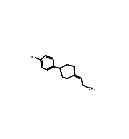 CCC=C1CCC(c2ccc(O)cc2)CC1